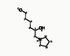 [O]CCCCC(O)CN1CCCC1